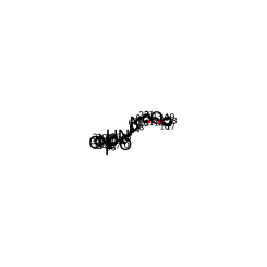 O=C(NCC1C2CN(Cc3ccc(OCc4ccccc4)cc3)CC12)c1ccc(N2CCOCC2)c(F)c1